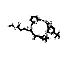 CCOC(=O)CCCC1CC(C)C2CN(c3nc(C(C)(C)C)ccc3C(=O)NSc3cccc(n3)N1)C(C)(C)C2